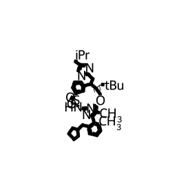 Cc1cccc(CC2CCCC2)c1-c1nc2nc(c1C)OC[C@@H](CC(C)(C)C)C(Cc1ncc(CC(C)C)cn1)c1cccc(c1)S(=O)(=O)N2